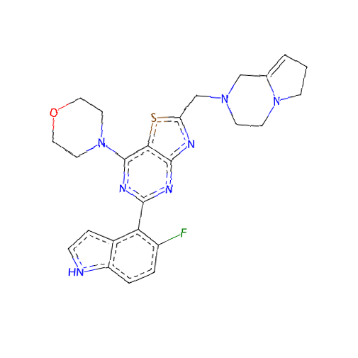 Fc1ccc2[nH]ccc2c1-c1nc(N2CCOCC2)c2sc(CN3CCN4CCC=C4C3)nc2n1